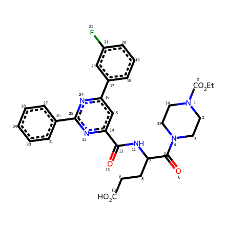 CCOC(=O)N1CCN(C(=O)C(CCC(=O)O)NC(=O)c2cc(-c3cccc(F)c3)nc(-c3ccccc3)n2)CC1